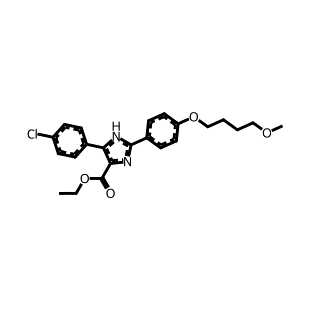 CCOC(=O)c1nc(-c2ccc(OCCCCOC)cc2)[nH]c1-c1ccc(Cl)cc1